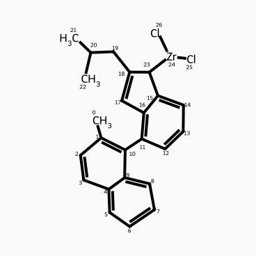 Cc1ccc2ccccc2c1-c1cccc2c1C=C(CC(C)C)[CH]2[Zr]([Cl])[Cl]